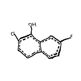 Oc1c(Cl)ccc2ccc(F)cc12